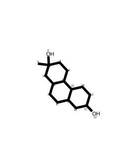 CC1(O)CCC2C(CCC3CC(O)CCC32)C1